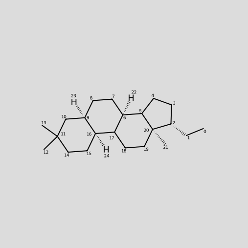 CC[C@H]1CCC2[C@@H]3CC[C@@H]4CC(C)(C)CC[C@@H]4C3CC[C@@]21C